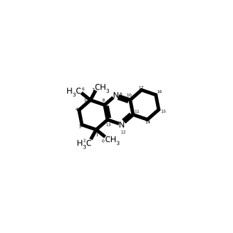 CC1(C)CCC(C)(C)c2nc3c(nc21)CCCC3